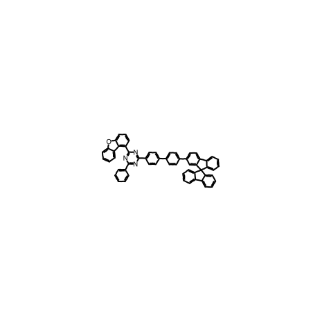 c1ccc(-c2nc(-c3ccc(-c4ccc(-c5ccc6c(c5)C5(c7ccccc7-c7ccccc75)c5ccccc5-6)cc4)cc3)nc(-c3cccc4oc5ccccc5c34)n2)cc1